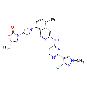 CC(C)c1ccc(N2CC(N3C[C@H](C)OC3=O)C2)c2cnc(Nc3ccnc(-c4cn(C)nc4Cl)n3)cc12